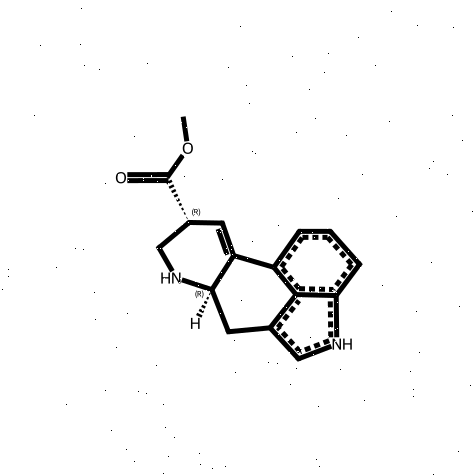 COC(=O)[C@@H]1C=C2c3cccc4[nH]cc(c34)C[C@H]2NC1